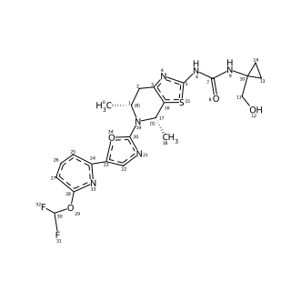 C[C@@H]1Cc2nc(NC(=O)NC3(CO)CC3)sc2[C@H](C)N1c1ncc(-c2cccc(OC(F)F)n2)o1